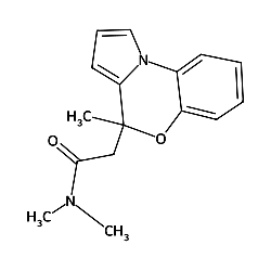 CN(C)C(=O)CC1(C)Oc2ccccc2-n2cccc21